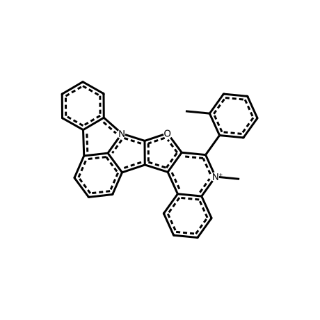 Cc1ccccc1-c1c2oc3c(c4cccc5c6ccccc6n3c54)c2c2ccccc2[n+]1C